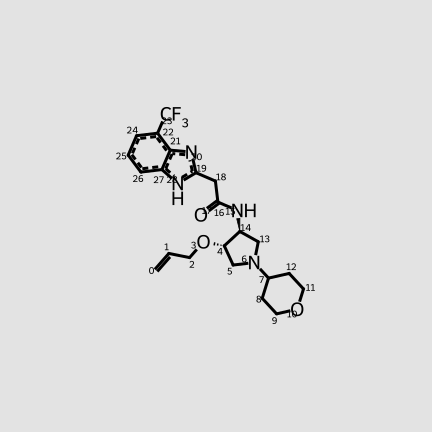 C=CCO[C@H]1CN(C2CCOCC2)C[C@@H]1NC(=O)Cc1nc2c(C(F)(F)F)cccc2[nH]1